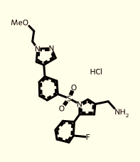 COCCn1cc(-c2cccc(S(=O)(=O)n3cc(CN)cc3-c3ccccc3F)c2)cn1.Cl